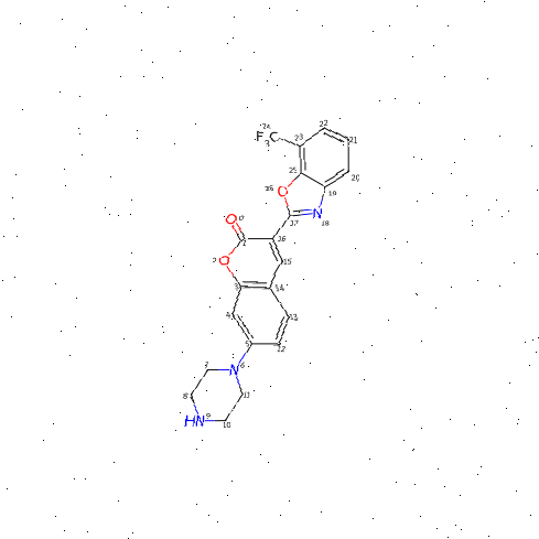 O=c1oc2cc(N3CCNCC3)ccc2cc1-c1nc2cccc(C(F)(F)F)c2o1